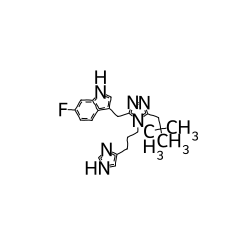 CC(C)(C)Cc1nnc(Cc2c[nH]c3cc(F)ccc23)n1CCCc1c[nH]cn1